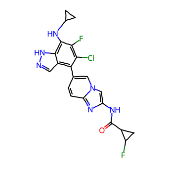 O=C(Nc1cn2cc(-c3c(Cl)c(F)c(NC4CC4)c4[nH]ncc34)ccc2n1)C1CC1F